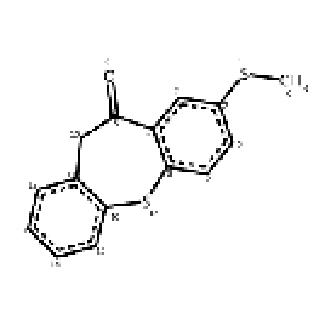 CSc1ccc2c(c1)C(=O)Cc1ccccc1S2